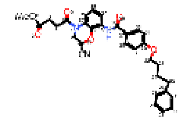 COC(=O)CCC(=O)N1CC(C#N)Oc2c(NC(=O)c3ccc(OCCCCc4ccccc4)cc3)cccc21